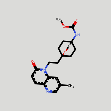 Cc1cnc2ccc(=O)n(CCC34CCC(NC(=O)OC(C)(C)C)(CC3)CO4)c2c1